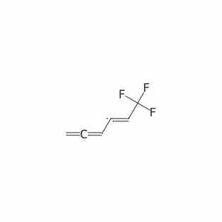 C=C=C[C]=CC(F)(F)F